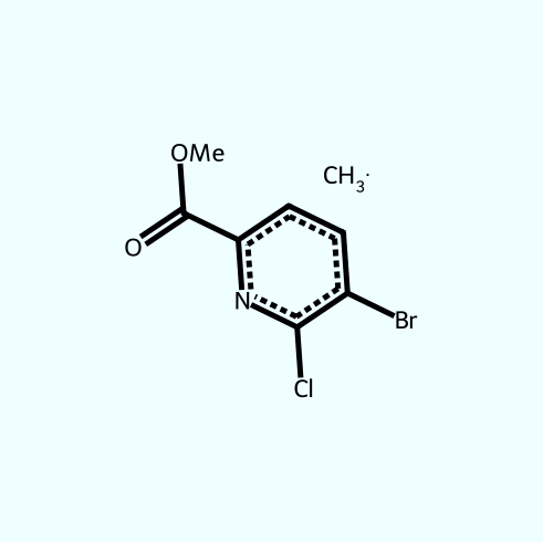 COC(=O)c1ccc(Br)c(Cl)n1.[CH3]